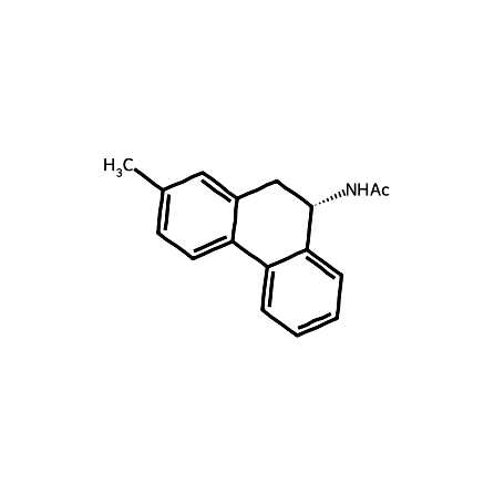 CC(=O)N[C@H]1Cc2cc(C)ccc2-c2ccccc21